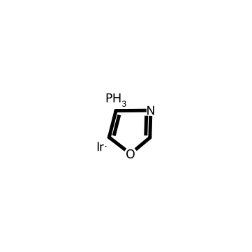 P.[Ir].c1cocn1